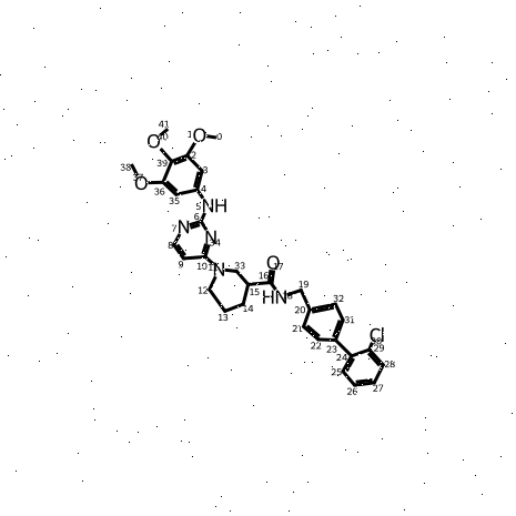 COc1cc(Nc2nccc(N3CCCC(C(=O)NCc4ccc(-c5ccccc5Cl)cc4)C3)n2)cc(OC)c1OC